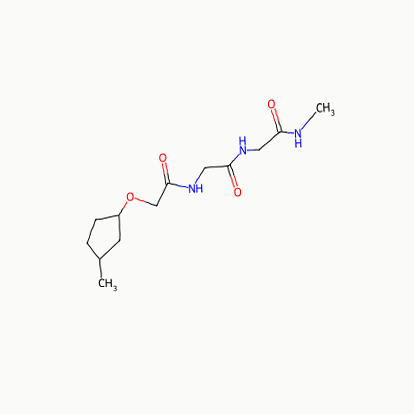 CNC(=O)CNC(=O)CNC(=O)COC1CCC(C)C1